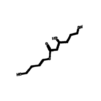 O=C(CC(O)CCCO)OCCCCO